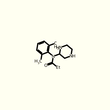 CCC(=O)N(c1c(C)cccc1C)C1CNCCN1